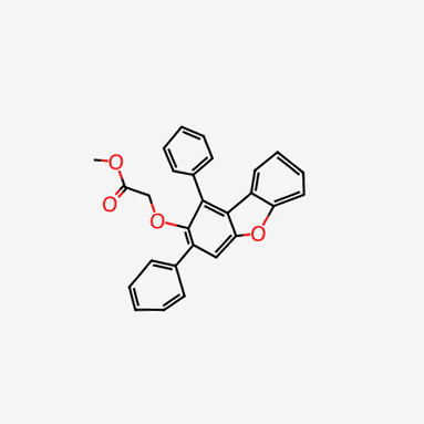 COC(=O)COc1c(-c2ccccc2)cc2oc3ccccc3c2c1-c1ccccc1